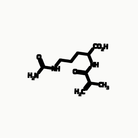 C=C(C)C(=O)NC(CCCNC(N)=O)C(=O)O